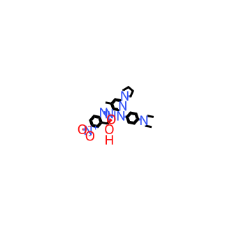 CCN(CC)c1ccc(Nc2nc(N3CCCC3)cc(C)c2N=Nc2ccc([N+](=O)[O-])cc2C(=O)O)cc1